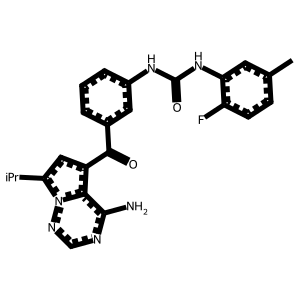 Cc1ccc(F)c(NC(=O)Nc2cccc(C(=O)c3cc(C(C)C)n4ncnc(N)c34)c2)c1